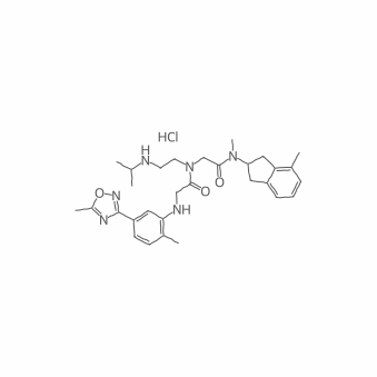 Cc1nc(-c2ccc(C)c(NCC(=O)N(CCNC(C)C)CC(=O)N(C)C3Cc4cccc(C)c4C3)c2)no1.Cl